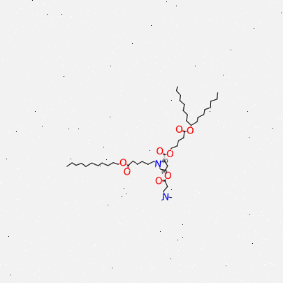 CCCCCCCCCCCOC(=O)CCCCCN1C[C@H](OC(=O)CCN(C)C)C[C@H]1C(=O)OCCCCC(=O)OC(CCCCCCCC)CCCCCCCC